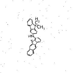 CC1(C)c2ccccc2-c2cc(Nc3cccc4c3sc3cc5ccccc5cc34)ccc21